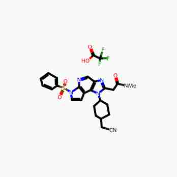 CNC(=O)Cc1nc2cnc3c(ccn3S(=O)(=O)c3ccccc3)c2n1C1CCC(CC#N)CC1.O=C(O)C(F)(F)F